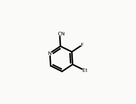 CCc1ccnc(C#N)c1F